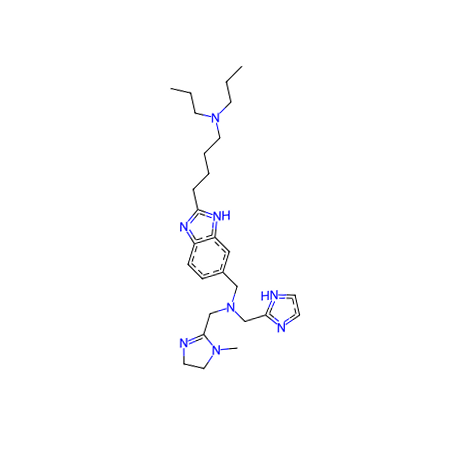 CCCN(CCC)CCCCc1nc2ccc(CN(CC3=NCCN3C)Cc3ncc[nH]3)cc2[nH]1